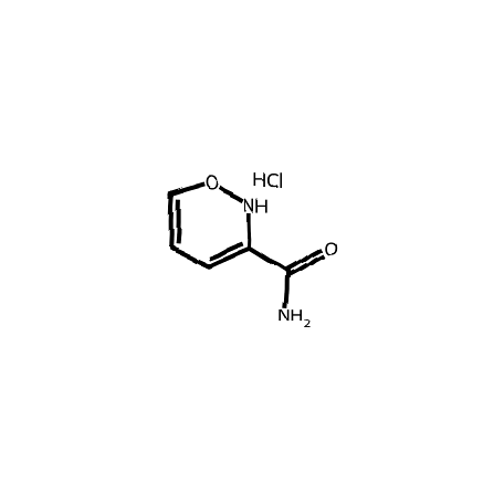 Cl.NC(=O)C1=CC=CON1